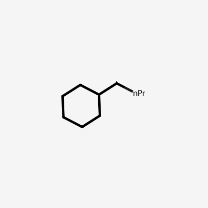 [CH2]CC[CH]C1CCCCC1